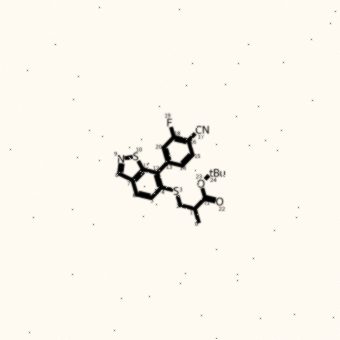 CC(CSc1ccc2cnsc2c1-c1ccc(C#N)c(F)c1)C(=O)OC(C)(C)C